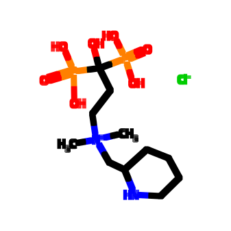 C[N+](C)(CCC(O)(P(=O)(O)O)P(=O)(O)O)CC1CCCCN1.[Cl-]